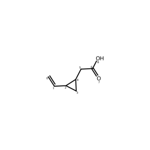 C=CC1CC1CC(=O)O